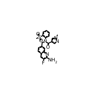 Cn1cc(C(=O)N(Cc2ccc3cc(F)c(N)nc3c2)c2ccccc2S(C)(=O)=O)cn1